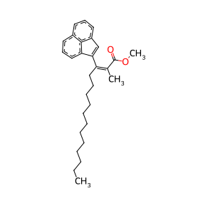 CCCCCCCCCCCCC(C1=Cc2cccc3cccc1c23)=C(C)C(=O)OC